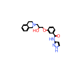 O=C(Nc1cc[nH]n1)c1cccc(OCC(O)CN2CCc3ccccc3C2)c1